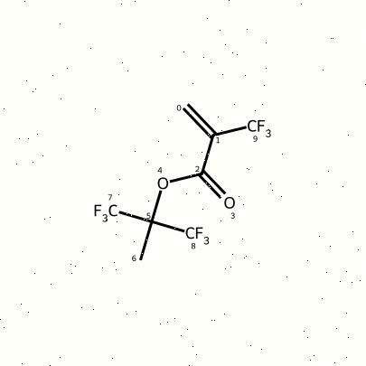 C=C(C(=O)OC(C)(C(F)(F)F)C(F)(F)F)C(F)(F)F